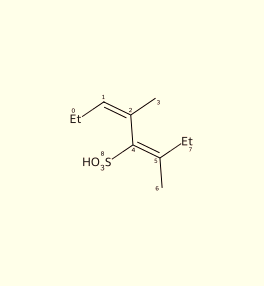 CC/C=C(C)\C(=C(\C)CC)S(=O)(=O)O